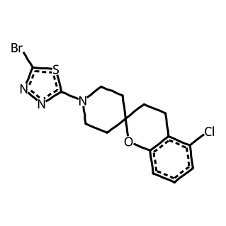 Clc1cccc2c1CCC1(CCN(c3nnc(Br)s3)CC1)O2